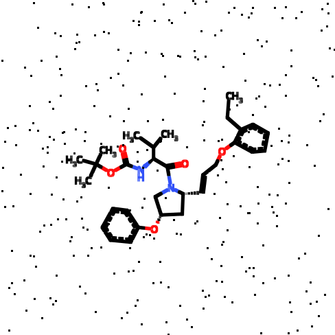 CCc1ccccc1OCC=C[C@@H]1C[C@H](Oc2ccccc2)CN1C(=O)[C@@H](NC(=O)OC(C)(C)C)C(C)C